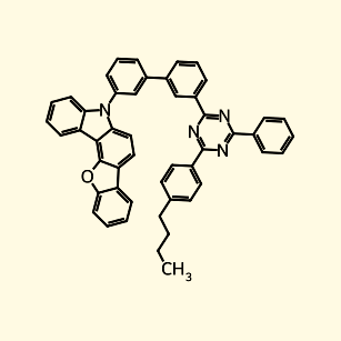 CCCCc1ccc(-c2nc(-c3ccccc3)nc(-c3cccc(-c4cccc(-n5c6ccccc6c6c7oc8ccccc8c7ccc65)c4)c3)n2)cc1